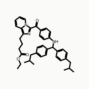 CCOC(=O)CCCc1nc(C(=O)c2ccc(NC(c3ccc(CC(C)C)cc3)c3ccc(CC(C)C)cc3)cc2)n2ccccc12